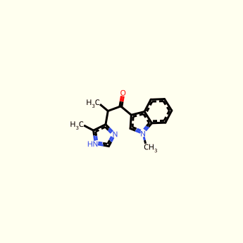 Cc1[nH]cnc1C(C)C(=O)c1cn(C)c2ccccc12